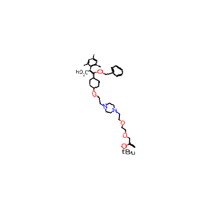 C=C(COCCOCCN1CCN(CCOC2CCC(/C(OCc3ccccc3)=C(\C(=O)O)c3c(C)cc(C)cc3C)CC2)CC1)OC(C)(C)C